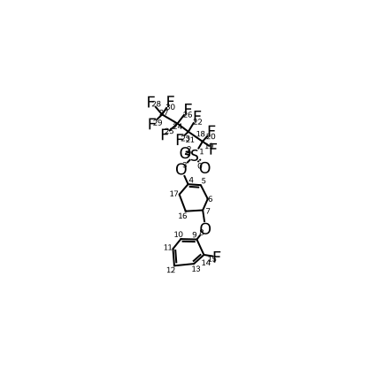 O=S(=O)(OC1=CCC(Oc2ccccc2F)CC1)C(F)(F)C(F)(F)C(F)(F)C(F)(F)F